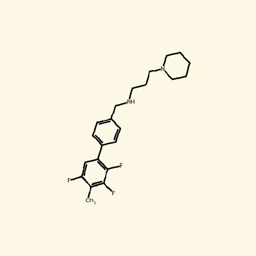 Cc1c(F)cc(-c2ccc(CNCCCN3CCCCC3)cc2)c(F)c1F